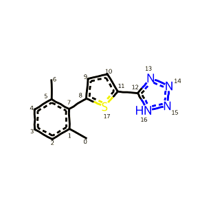 Cc1cccc(C)c1-c1ccc(-c2nnn[nH]2)s1